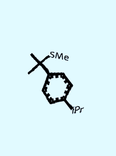 CSC(C)(C)c1ccc(C(C)C)cc1